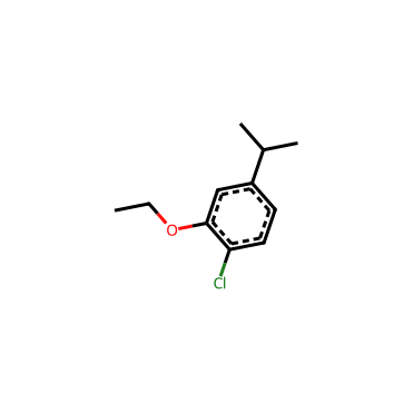 CCOc1cc(C(C)C)ccc1Cl